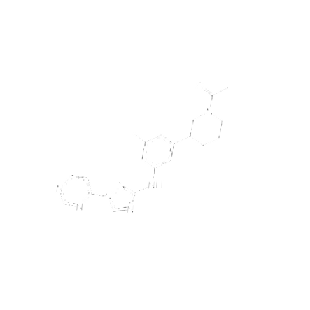 CC(=O)N1CCCC(c2cc(C)cc(Nc3ncn(-c4ccncn4)n3)c2)C1